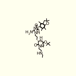 CCNCCNC(=O)[C@H](CCCN/C(N)=N\S(=O)(=O)c1c(C)c(C)c2c(c1C)CC(C)(C)O2)NC(=O)OC(C)(C)C